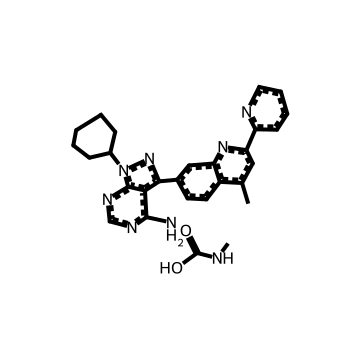 CNC(=O)O.Cc1cc(-c2ccccn2)nc2cc(-c3nn(C4CCCCC4)c4ncnc(N)c34)ccc12